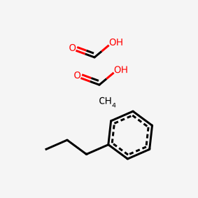 C.CCCc1ccccc1.O=CO.O=CO